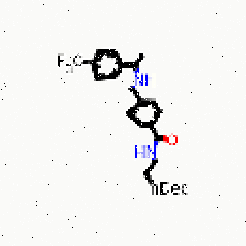 CCCCCCCCCCCCNC(=O)c1ccc(CNC(C)c2ccc(C(F)(F)F)cc2)cc1